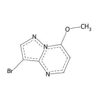 COc1ccnc2c(Br)cnn12